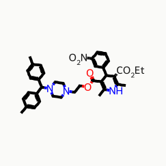 CCOC(=O)C1=C(C)NC(C)=C(C(=O)OCCN2CCN(C(c3ccc(C)cc3)c3ccc(C)cc3)CC2)C1c1cccc([N+](=O)[O-])c1